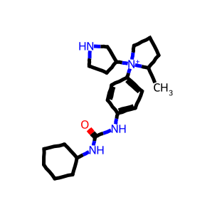 CC1CCC[N+]1(c1ccc(NC(=O)NC2CCCCC2)cc1)C1CCNC1